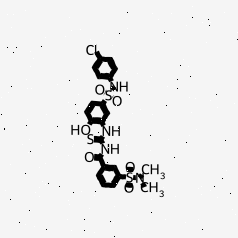 CN(C)S(=O)(=O)c1cccc(C(=O)NC(=S)Nc2cc(S(=O)(=O)Nc3ccc(Cl)cc3)ccc2O)c1